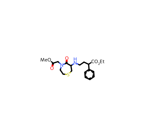 CCOC(=O)C(CCNC1CSCCN(CC(=O)OC)C1=O)c1ccccc1